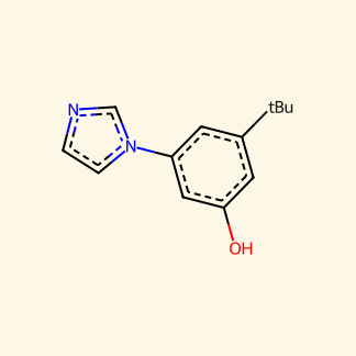 CC(C)(C)c1cc(O)cc(-n2ccnc2)c1